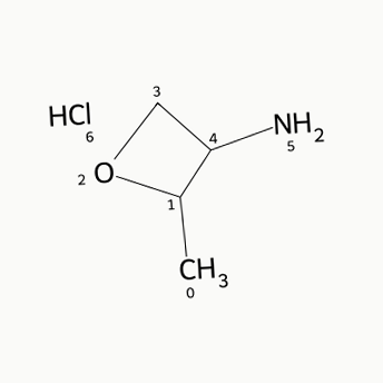 CC1OCC1N.Cl